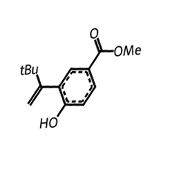 C=C(c1cc(C(=O)OC)ccc1O)C(C)(C)C